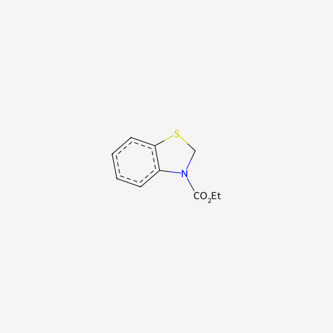 CCOC(=O)N1CSc2ccccc21